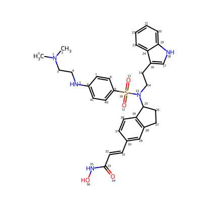 CN(C)CCNc1ccc(S(=O)(=O)N(CCc2c[nH]c3ccccc23)C2CCc3cc(C=CC(=O)NO)ccc32)cc1